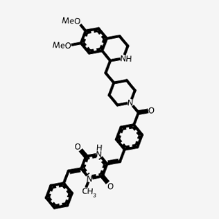 COc1cc2c(cc1OC)C(CC1CCN(C(=O)c3ccc(C=c4[nH]c(=O)c(=Cc5ccccc5)n(C)c4=O)cc3)CC1)NCC2